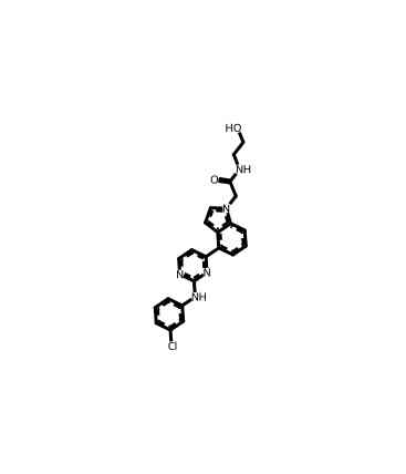 O=C(Cn1ccc2c(-c3ccnc(Nc4cccc(Cl)c4)n3)cccc21)NCCO